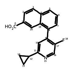 O=C(O)c1ccc2cccc(-c3cc(C4CC4)ncc3F)c2c1